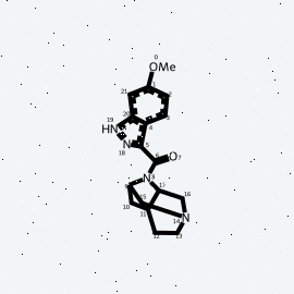 COc1ccc2c(C(=O)N3C4CC5CCN(C4)CC53)n[nH]c2c1